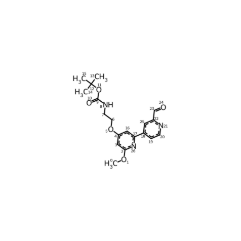 COc1cc(OCCNC(=O)OC(C)(C)C)cc(-c2ccnc(C=O)c2)n1